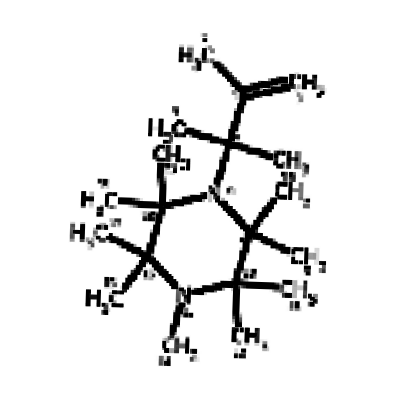 C=C(C)C(C)(C)N1C(C)(C)C(C)(C)N(C)C(C)(C)C1(C)C